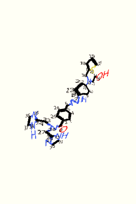 O=C(c1ccc(CN[C@H]2CC[C@H](N(CCO)Cc3cccs3)CC2)cc1)N(Cc1ncc[nH]1)Cc1ncc[nH]1